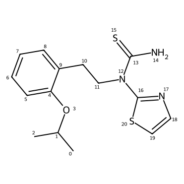 CC(C)Oc1ccccc1CCN(C(N)=S)c1nccs1